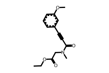 CCOC(=O)CN(C)C(=O)C#Cc1cccc(OC)c1